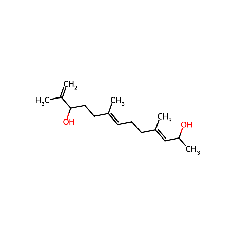 C=C(C)C(O)CC/C(C)=C/CC/C(C)=C/C(C)O